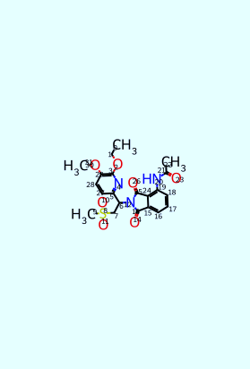 CCOc1nc(C(CS(C)(=O)=O)N2C(=O)c3cccc(NC(C)=O)c3C2=O)ccc1OC